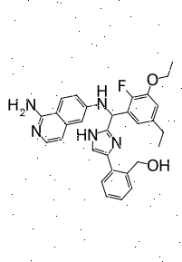 CCOc1cc(CC)cc(C(Nc2ccc3c(N)nccc3c2)c2nc(-c3ccccc3CO)c[nH]2)c1F